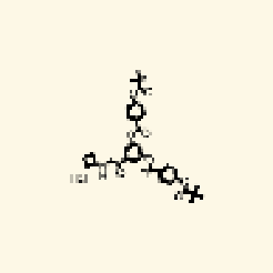 CC(C)(C)C(=O)Oc1ccc(C(=O)Oc2cc(OC(=O)c3ccc(OC(=O)C(C)(C)C)cc3)cc(C(=O)CNC3CCC3)c2)cc1.Cl